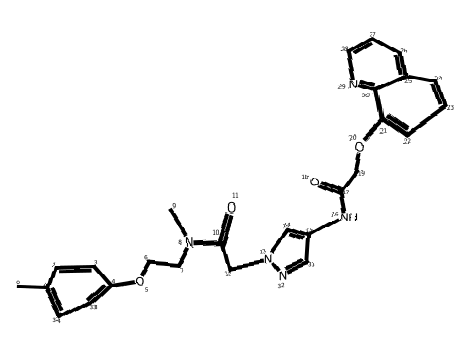 Cc1ccc(OCCN(C)C(=O)Cn2cc(NC(=O)COc3cccc4cccnc34)cn2)cc1